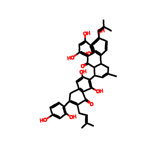 CC(C)=CCC1=C(c2ccc(O)cc2O)Cc2cc(O)c(C3C=C(C)CC(c4ccc(O)cc4O)C3C(=O)c3cc(CC=C(C)C)c(O)cc3O)c(O)c2C1=O